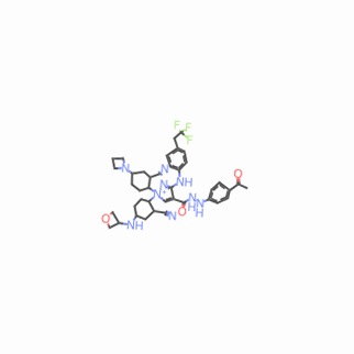 CC(=O)c1ccc(NNC(=O)C2=C[N+](C3CCC(NC4COC4)CC3C#N)(C3CCC(N4CCC4)CC3C#N)N=C2Nc2ccc(CC(F)(F)F)cc2)cc1